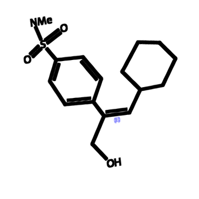 CNS(=O)(=O)c1ccc(/C(=C\C2CCCCC2)CO)cc1